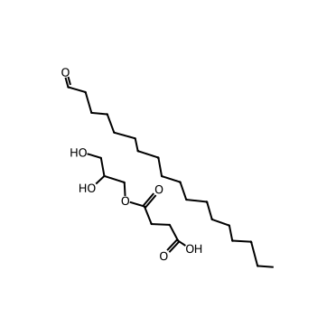 CCCCCCCCCCCCCCCCCC=O.O=C(O)CCC(=O)OCC(O)CO